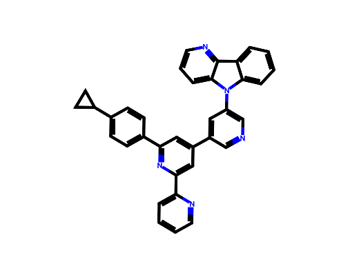 c1ccc(-c2cc(-c3cncc(-n4c5ccccc5c5ncccc54)c3)cc(-c3ccc(C4CC4)cc3)n2)nc1